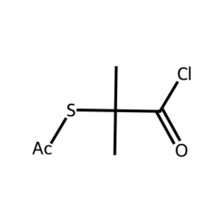 CC(=O)SC(C)(C)C(=O)Cl